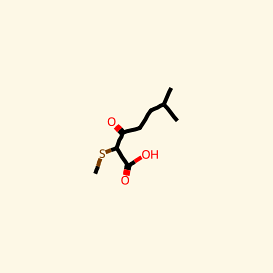 CSC(C(=O)O)C(=O)CCC(C)C